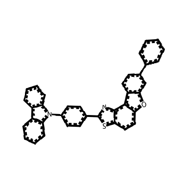 c1ccc(-c2ccc3c(c2)oc2ccc4sc(-c5ccc(-n6c7ccccc7c7ccccc76)cc5)nc4c23)cc1